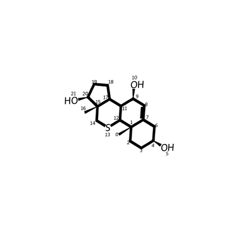 C[C@]12CC[C@H](O)CC1=C[C@H](O)C1C2SC[C@@]2(C)C1CC[C@@H]2O